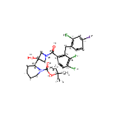 CC(C)(C)OC(=O)N1CCCC[C@H]1C1(O)CN(C(=O)c2ccc(F)c(F)c2Cc2ccc(I)cc2F)C1